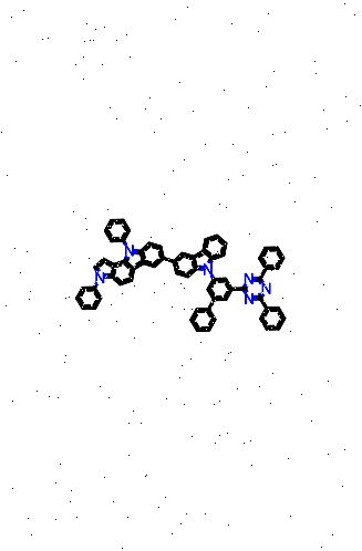 c1ccc(-c2cc(-c3nc(-c4ccccc4)nc(-c4ccccc4)n3)cc(-n3c4ccccc4c4cc(-c5ccc6c(c5)c5ccc7c(ccn7-c7ccccc7)c5n6-c5ccccc5)ccc43)c2)cc1